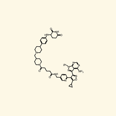 CC(C)n1nc(-c2noc(C3CC3)c2-c2ccc(CNC(=O)CCCC(=O)N3CCC(CN4CCC(c5ccc(NC6CCC(=O)NC6=O)cc5)CC4)CC3)cn2)c2c(N)ncnc21